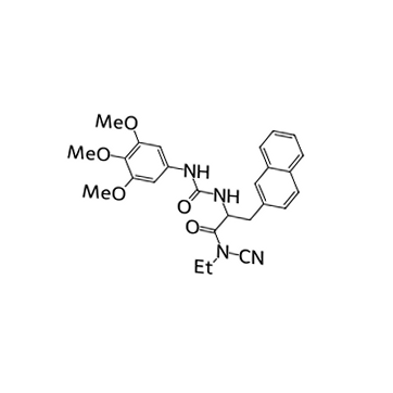 CCN(C#N)C(=O)C(Cc1ccc2ccccc2c1)NC(=O)Nc1cc(OC)c(OC)c(OC)c1